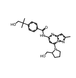 Cc1cc2nc(NC(=O)c3ccc(C(C)(C)CO)cc3)cc(N3CCCC3CO)n2n1